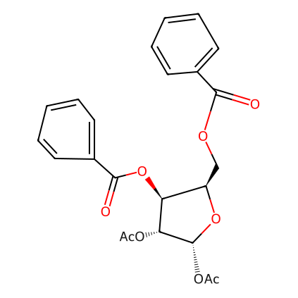 CC(=O)O[C@H]1O[C@H](COC(=O)c2ccccc2)[C@H](OC(=O)c2ccccc2)[C@H]1OC(C)=O